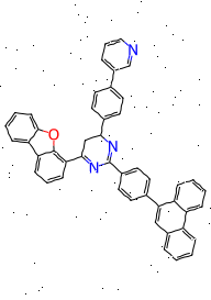 c1cncc(-c2ccc(C3CC(c4cccc5c4oc4ccccc45)=NC(c4ccc(-c5cc6ccccc6c6ccccc56)cc4)=N3)cc2)c1